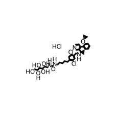 Cl.O=C(NCCCCCc1cc(Cl)c(CNC2(c3cnccc3-c3ccccc3OC3CC3)CC2)cc1Cl)NCC(O)C(O)C(O)C(O)CO